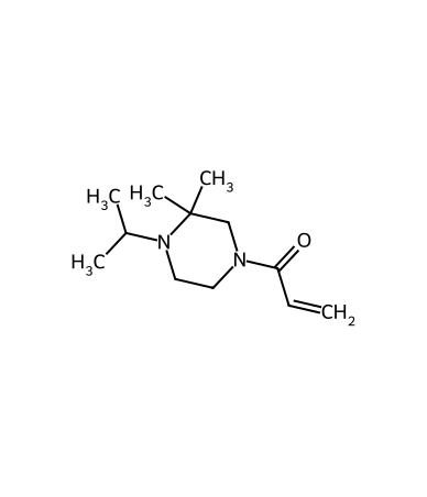 C=CC(=O)N1CCN(C(C)C)C(C)(C)C1